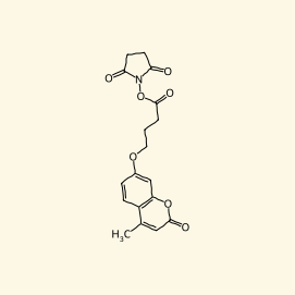 Cc1cc(=O)oc2cc(OCCCC(=O)ON3C(=O)CCC3=O)ccc12